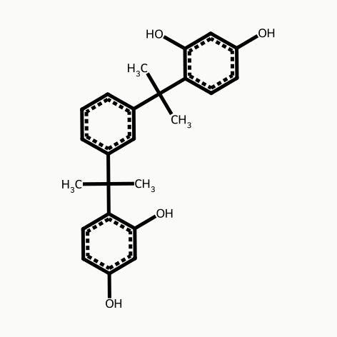 CC(C)(c1cccc(C(C)(C)c2ccc(O)cc2O)c1)c1ccc(O)cc1O